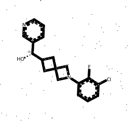 O[C@H](c1cccnc1)C1CC2(C1)CN(c1cccc(Cl)c1F)C2